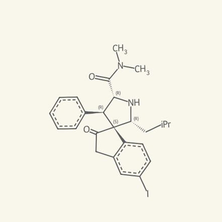 CC(C)C[C@H]1N[C@@H](C(=O)N(C)C)[C@H](c2ccccc2)[C@@]12C(=O)Cc1cc(I)ccc12